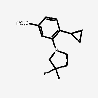 O=C(O)c1ccc(C2CC2)c(N2CCC(F)(F)C2)c1